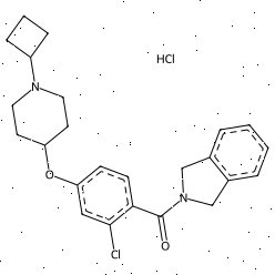 Cl.O=C(c1ccc(OC2CCN(C3CCC3)CC2)cc1Cl)N1Cc2ccccc2C1